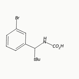 CC(C)(C)C(NC(=O)O)c1cccc(Br)c1